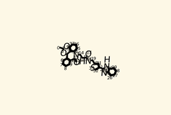 CC(=O)OC1c2ccccc2C(=O)N(CCC(=O)NCc2cc(-c3nc4ccccc4[nH]3)cs2)c2ccccc21